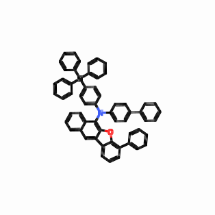 c1ccc(-c2ccc(N(c3ccc([Si](c4ccccc4)(c4ccccc4)c4ccccc4)cc3)c3c4ccccc4cc4c3oc3c(-c5ccccc5)cccc34)cc2)cc1